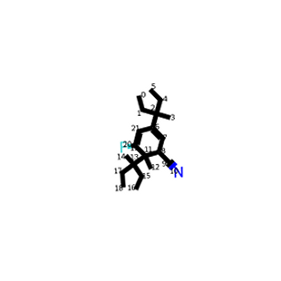 CCC(C)(CC)C1=CC(C#N)C(C)(C(C)(CC)CC)C(F)=C1